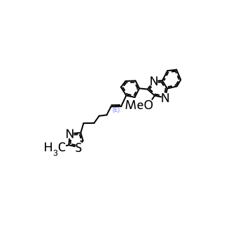 COc1nc2ccccc2nc1-c1cccc(/C=C/CCCCc2csc(C)n2)c1